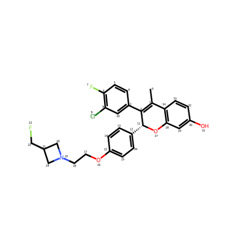 CC1=C(c2ccc(F)c(Cl)c2)[C@@H](c2ccc(OCCN3CC(CF)C3)cc2)Oc2cc(O)ccc21